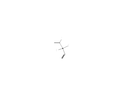 O=CC(F)(F)C(F)Cl